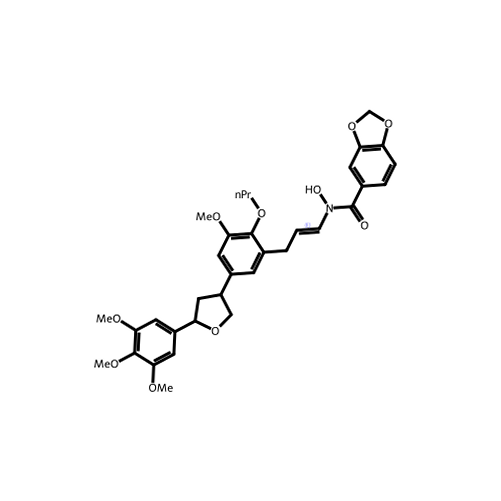 CCCOc1c(C/C=C/N(O)C(=O)c2ccc3c(c2)OCO3)cc(C2COC(c3cc(OC)c(OC)c(OC)c3)C2)cc1OC